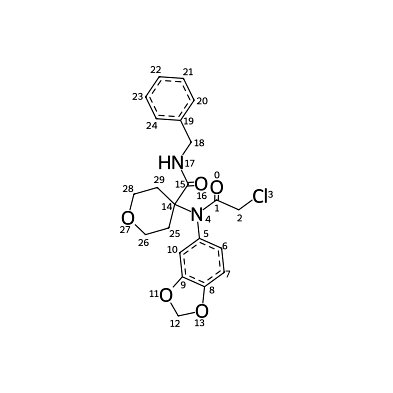 O=C(CCl)N(c1ccc2c(c1)OCO2)C1(C(=O)NCc2ccccc2)CCOCC1